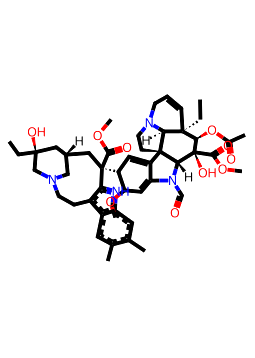 CC[C@]1(O)C[C@H]2CN(CCc3c([nH]c4cc(C)c(C)cc34)[C@@](C(=O)OC)(C3C=C4C(=CC3OC)N(C=O)[C@H]3[C@@](O)(C(=O)OC)[C@H](OC(C)=O)[C@]5(CC)C=CCN6CC[C@]43[C@@H]65)C2)C1